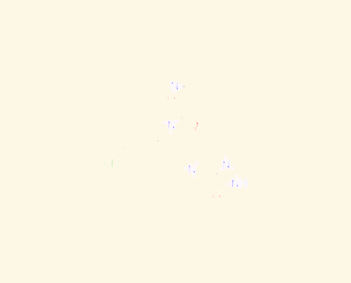 COc1cccc(N2CNC(=O)C23CCN(CCCC2(c4ccc(Cl)c(Cl)c4)CCN(C(=O)c4ccno4)C2)CC3)c1